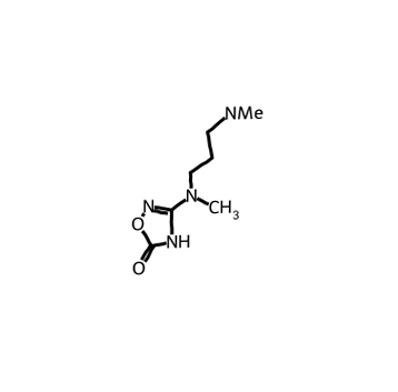 CNCCCN(C)c1noc(=O)[nH]1